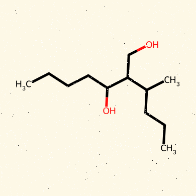 CCCCC(O)C(CO)C(C)CCC